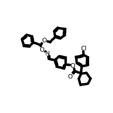 O=C(Oc1ccc(C=NOC(OCc2ccccc2)c2ccccc2)cc1)C1(c2ccc(Cl)cc2)CCCCC1